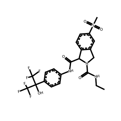 CCNC(=O)N1Cc2cc(S(C)(=O)=O)ccc2C1C(=O)Nc1ccc(C(O)(C(F)(F)F)C(F)(F)F)cc1